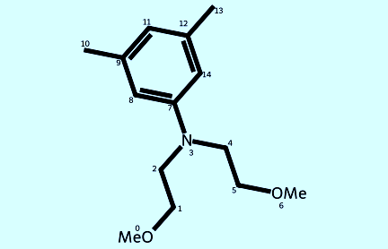 COCCN(CCOC)c1cc(C)cc(C)c1